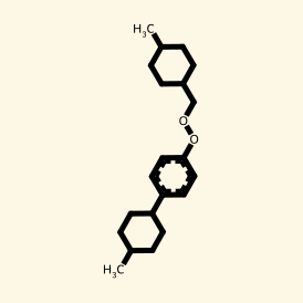 CC1CCC(COOc2ccc(C3CCC(C)CC3)cc2)CC1